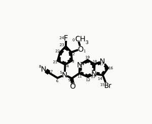 COc1cc(N(CC#N)C(=O)c2cn3c(Br)cnc3cn2)ccc1F